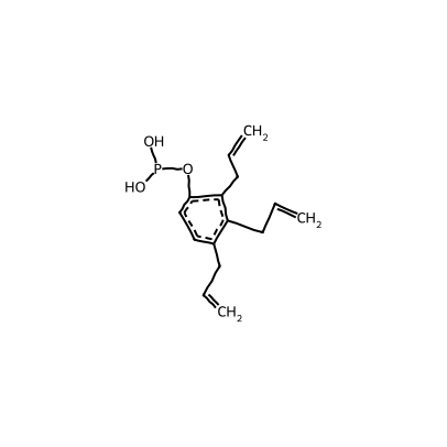 C=CCc1ccc(OP(O)O)c(CC=C)c1CC=C